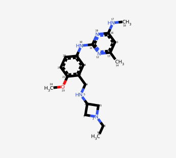 CCN1CC(NCc2cc(Nc3nc(C)cc(NC)n3)ccc2OC)C1